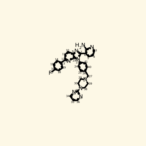 Nc1ncccc1-c1nc2ccc(-c3ccc(F)cc3)nc2n1-c1ccc(CN2CCN(c3ncccn3)CC2)cc1